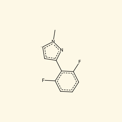 Cn1[c]cc(-c2c(F)cccc2F)n1